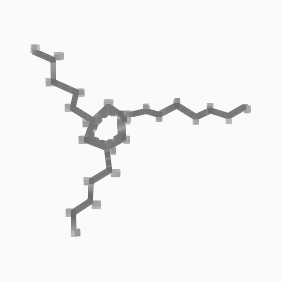 CCCCCCC[n+]1cc(CCCCC)cc(CCCCC)c1